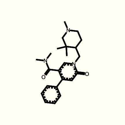 CN1CCC(Cn2cc(C(=O)N(C)C)c(-c3ccccc3)cc2=O)C(C)(C)C1